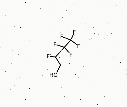 OCC(F)C(F)(F)C(F)(F)F